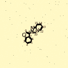 [c]1oc2ccccc2c1N1CN2C=CC=CC2=N1